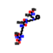 COC(C(=O)NCCCCCCN/C(=N/C(=O)OC(C)(C)C)NC(=O)OC(C)(C)C)C(=O)NCCCCN(CCC(C)NC(=O)OC(C)(C)C)Cc1ccccc1